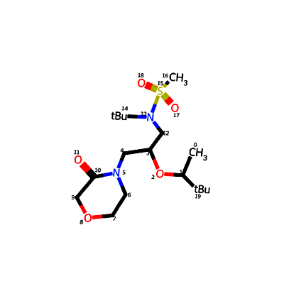 CC(OC(CN1CCOCC1=O)CN(C(C)(C)C)S(C)(=O)=O)C(C)(C)C